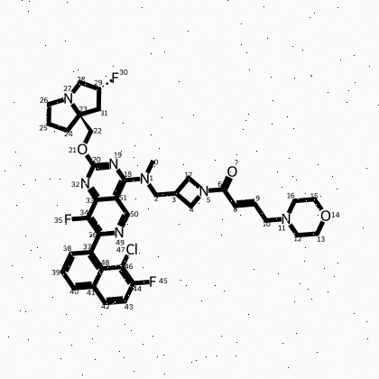 CN(CC1CN(C(=O)/C=C/CN2CCOCC2)C1)c1nc(OC[C@@]23CCCN2C[C@H](F)C3)nc2c(F)c(-c3cccc4ccc(F)c(Cl)c34)ncc12